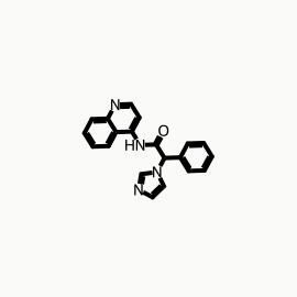 O=C(Nc1ccnc2ccccc12)C(c1ccccc1)n1ccnc1